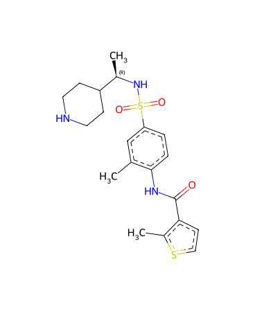 Cc1cc(S(=O)(=O)N[C@H](C)C2CCNCC2)ccc1NC(=O)c1ccsc1C